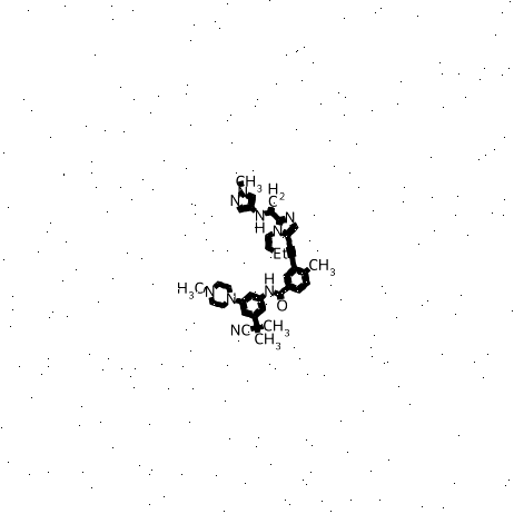 C=C(Nc1cnn(C)c1)c1ncc(C#Cc2cc(C(=O)Nc3cc(N4CCN(C)CC4)cc(C(C)(C)C#N)c3)ccc2C)n1/C=C\CC